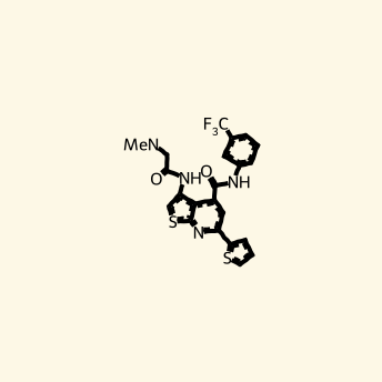 CNCC(=O)Nc1csc2nc(-c3cccs3)cc(C(=O)Nc3cccc(C(F)(F)F)c3)c12